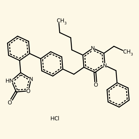 CCCCc1nc(CC)n(Cc2ccccc2)c(=O)c1Cc1ccc(-c2ccccc2-c2noc(=O)[nH]2)cc1.Cl